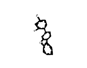 Fc1ccc(-c2ccc3c(c2)oc2ccccc23)c(F)c1